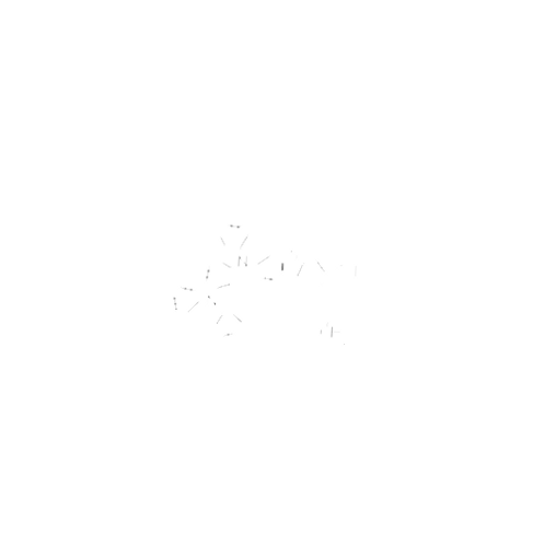 C=CCCC1Cc2c(sc3cc(-n4c5ccccc5c5cc6c7ccccc7n(-c7ccccc7)c6cc54)ccc23)C=C1C